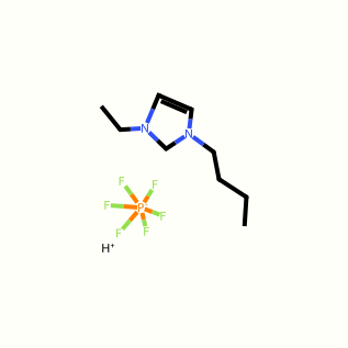 CCCCN1C=CN(CC)C1.F[P-](F)(F)(F)(F)F.[H+]